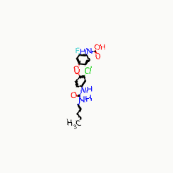 CCCCCNC(=O)Nc1ccc(Oc2ccc(NC(=O)O)c(F)c2)c(Cl)c1